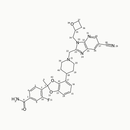 CC1(c2ccc(C(N)=O)cc2F)Oc2cccc(C3CCN(Cc4nc5cc(C#N)cnc5n4CC4CCO4)CC3)c2O1